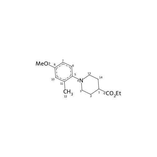 CCOC(=O)C1CCN(c2ccc(OC)cc2C)CC1